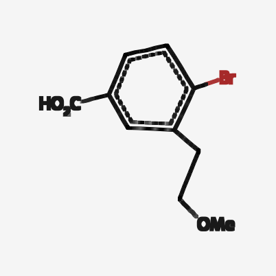 COCCc1cc(C(=O)O)ccc1Br